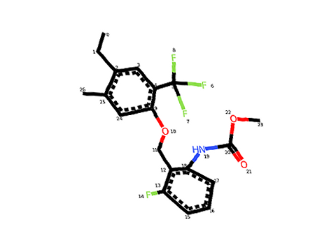 CCc1cc(C(F)(F)F)c(OCc2c(F)cccc2NC(=O)OC)cc1C